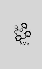 CSc1ccc(OC(=O)Oc2ccccc2)cc1Cc1ccccc1